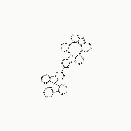 c1ccc2c(c1)-c1ccccc1C21c2ccccc2-c2cc(-c3ccc4c(c3)c3cccc5c6cccc7sc8cccc(c9ccccc9n4c53)c8c76)ccc21